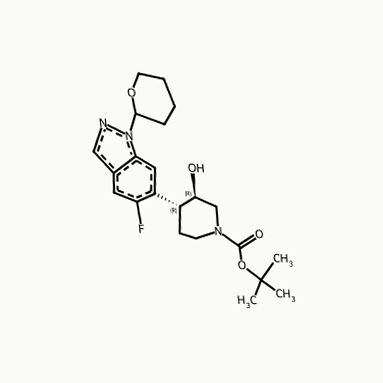 CC(C)(C)OC(=O)N1CC[C@H](c2cc3c(cnn3C3CCCCO3)cc2F)[C@@H](O)C1